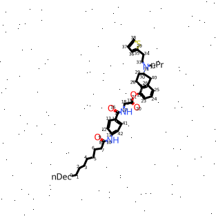 CCCCCCCCCCCCCCCCCC(=O)Nc1ccc(C(=O)NCC(=O)Oc2cccc3c2CC[C@H](N(CCC)CCc2cccs2)C3)cc1